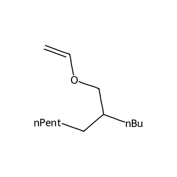 C=COCC(CCCC)CCCCCC